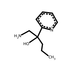 CCCC(O)(CN)c1ccccn1